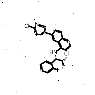 Fc1ccccc1[C@H](Nc1c(Cl)cnc2ccc(-c3cnc(Cl)nc3)cc12)C(F)F